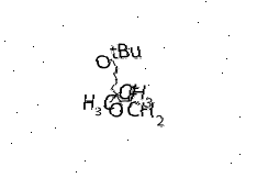 C=C(F)C(=O)C(C)(C)CC/C=C/C(=O)C(C)(C)C